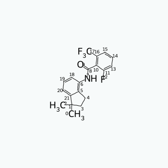 CC1(C)CCc2c(NC(=O)c3c(F)cccc3C(F)(F)F)cccc21